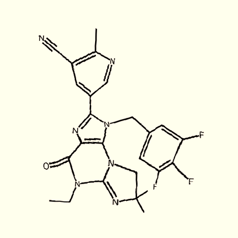 CCN1C(=O)c2nc(-c3cnc(C)c(C#N)c3)n(Cc3cc(F)c(F)c(F)c3)c2N2CC(C)(C)N=C12